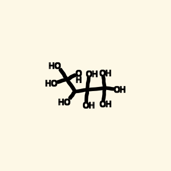 OC(C(O)(O)O)C(O)(O)C(O)(O)O